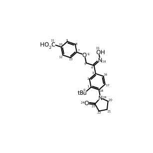 CC(C)(C)c1cc(/C(COc2ccc(C(=O)O)cc2)=N/O)ccc1N1CCCC1=O